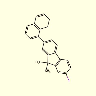 CC1(C)c2cc(I)ccc2-c2ccc(-c3cccc4c3CCC=C4)cc21